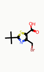 CC(C)(C)c1nc(CBr)c(C(=O)O)s1